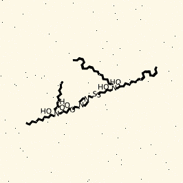 CC/C=C\C/C=C\C/C=C\CCCCCC[C@H](O)CN(CCCCSSCCN1CCN(CCOC(=O)CCCN(CC(O)CCCCCCCC)CC(O)CCCCCCCC)CC1)C[C@@H](O)CCCCCC/C=C\C/C=C\C/C=C\CC